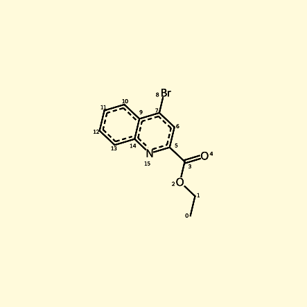 CCOC(=O)c1cc(Br)c2ccccc2n1